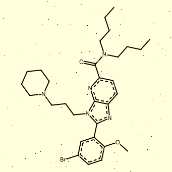 CCCCN(CCCC)C(=O)c1ccc2nc(-c3cc(Br)ccc3OC)n(CCCN3CCCCC3)c2n1